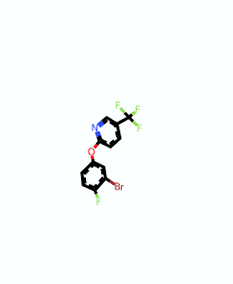 Fc1ccc(Oc2ccc(C(F)(F)F)cn2)cc1Br